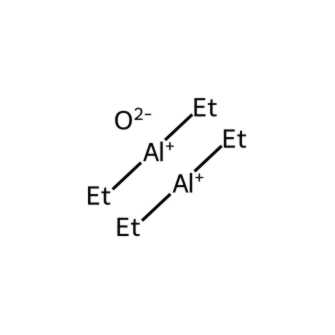 C[CH2][Al+][CH2]C.C[CH2][Al+][CH2]C.[O-2]